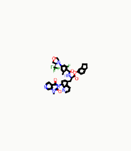 Cc1cc(N2CCOC[C@@H]2C(F)(F)F)cc(F)c1C(=O)NC(Cc1ccc(-n2c(=O)c3ccncc3n(C)c2=O)c2ncccc12)C(=O)Oc1ccc2c(c1)CCC2